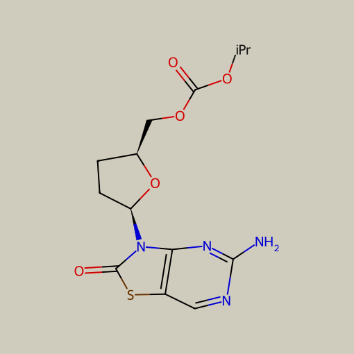 CC(C)OC(=O)OC[C@@H]1CC[C@H](n2c(=O)sc3cnc(N)nc32)O1